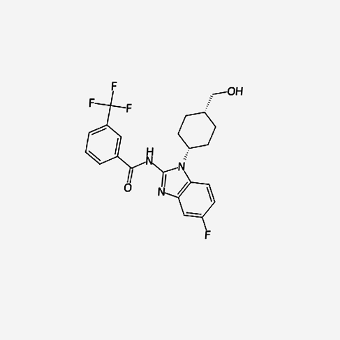 O=C(Nc1nc2cc(F)ccc2n1[C@H]1CC[C@@H](CO)CC1)c1cccc(C(F)(F)F)c1